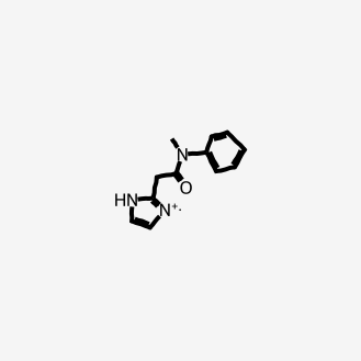 CN(C(=O)CC1=[N+]C=CN1)c1ccccc1